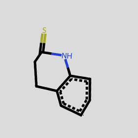 S=C1CCc2c[c]ccc2N1